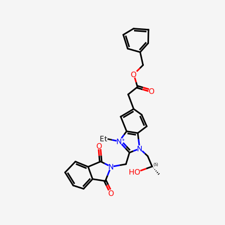 CC[n+]1c(CN2C(=O)c3ccccc3C2=O)n(C[C@H](C)O)c2ccc(CC(=O)OCc3ccccc3)cc21